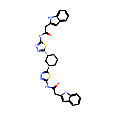 O=C(Cc1cc2ccccc2[nH]1)Nc1nnc([C@@H]2CCC[C@@H](c3nnc(NC(=O)Cc4cc5ccccc5[nH]4)s3)C2)s1